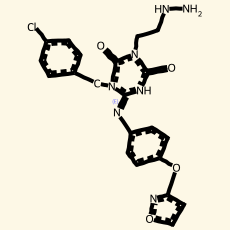 NNCCn1c(=O)[nH]/c(=N\c2ccc(Oc3ccon3)cc2)n(Cc2ccc(Cl)cc2)c1=O